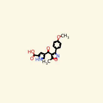 COc1ccc(-c2noc(C)c2C(=O)c2c[nH]c(C(=O)O)c2)cc1